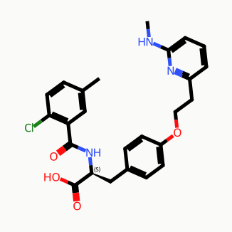 CNc1cccc(CCOc2ccc(C[C@H](NC(=O)c3cc(C)ccc3Cl)C(=O)O)cc2)n1